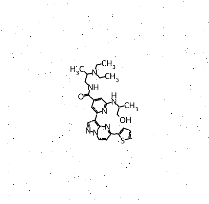 CCN(CC)C(C)CNC(=O)c1cc(NC(C)CO)nc(-c2cnn3ccc(-c4cccs4)nc23)c1